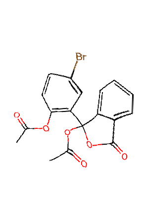 CC(=O)Oc1ccc(Br)cc1C1(OC(C)=O)OC(=O)c2ccccc21